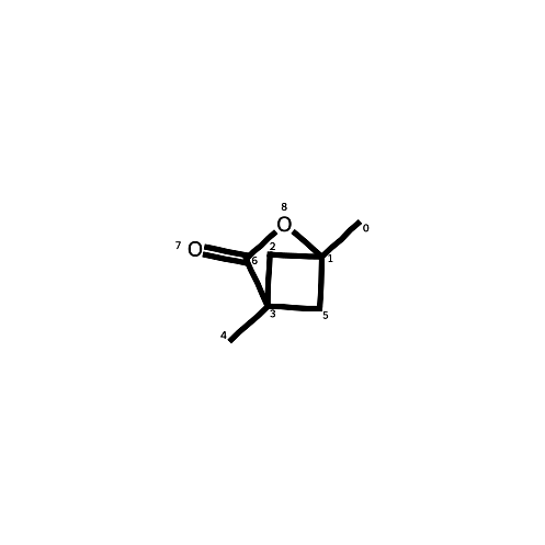 CC12CC(C)(C1)C(=O)O2